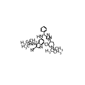 CC(C)(C)N1CCC(n2cc([C@@H](Nc3cc(Cl)c4ncc(C#N)c(NCS(C)(C)C)c4c3)c3ccccc3)nn2)CC1